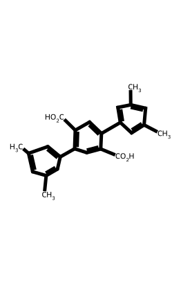 Cc1cc(C)cc(-c2cc(C(=O)O)c(-c3cc(C)cc(C)c3)cc2C(=O)O)c1